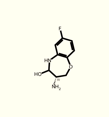 N[C@H]1COc2ccc(F)cc2NC1O